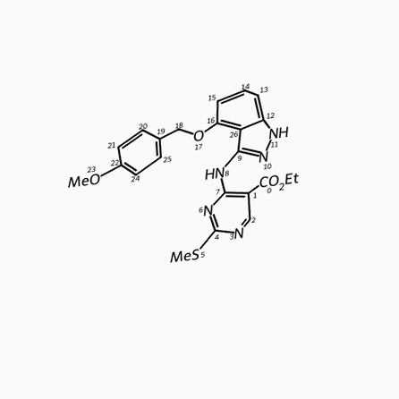 CCOC(=O)c1cnc(SC)nc1Nc1n[nH]c2cccc(OCc3ccc(OC)cc3)c12